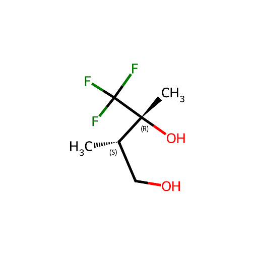 C[C@@H](CO)[C@@](C)(O)C(F)(F)F